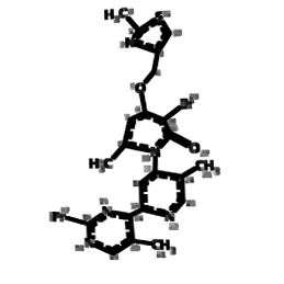 Cc1nc(COc2cc(C)n(-c3cc(-c4nc(C(C)C)ncc4C)ncc3C)c(=O)c2Br)cs1